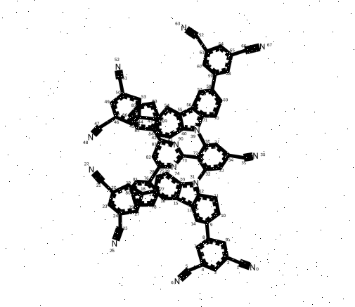 N#Cc1cc(C#N)cc(-c2ccc3c(c2)c2cc(-c4cc(C#N)cc(C#N)c4)ccc2n3-c2cc(C#N)cc(-n3c4ccc(-c5cc(C#N)cc(C#N)c5)cc4c4cc(-c5cc(C#N)cc(C#N)c5)ccc43)c2-c2nc(-c3ccccc3)cc(-c3ccccc3)n2)c1